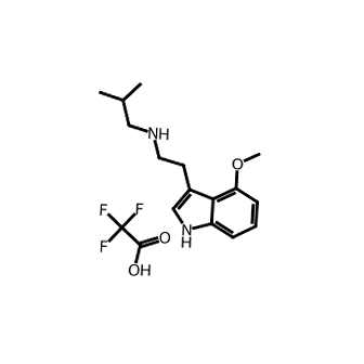 COc1cccc2[nH]cc(CCNCC(C)C)c12.O=C(O)C(F)(F)F